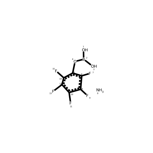 N.OB(O)Oc1c(F)c(F)c(F)c(F)c1F